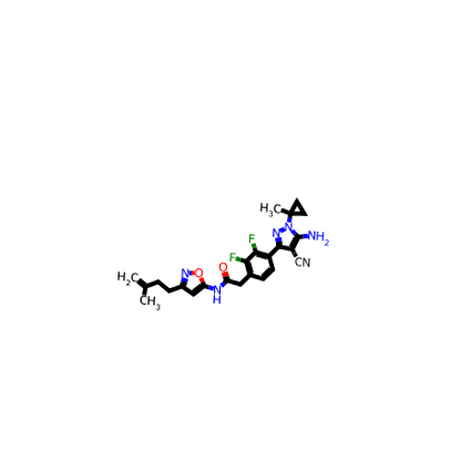 C=C(C)CCc1cc(NC(=O)Cc2ccc(-c3nn(C4(C)CC4)c(N)c3C#N)c(F)c2F)on1